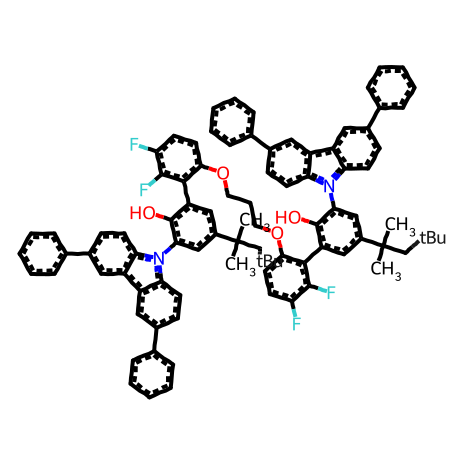 CC(C)(C)CC(C)(C)c1cc(-c2c(OCCCOc3ccc(F)c(F)c3-c3cc(C(C)(C)CC(C)(C)C)cc(-n4c5ccc(-c6ccccc6)cc5c5cc(-c6ccccc6)ccc54)c3O)ccc(F)c2F)c(O)c(-n2c3ccc(-c4ccccc4)cc3c3cc(-c4ccccc4)ccc32)c1